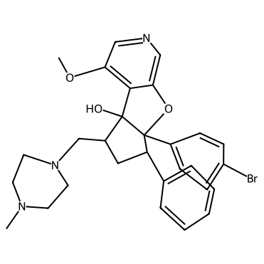 COc1cncc2c1C1(O)C(CN3CCN(C)CC3)CC(c3ccccc3)C1(c1ccc(Br)cc1)O2